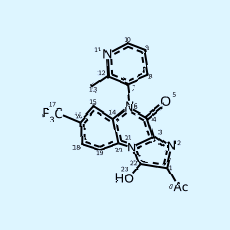 CC(=O)c1nc2c(=O)n(-c3cccnc3C)c3cc(C(F)(F)F)ccc3n2c1O